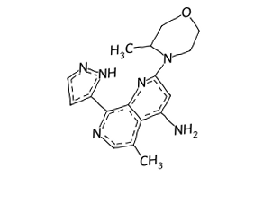 Cc1cnc(-c2ccn[nH]2)c2nc(N3CCOCC3C)cc(N)c12